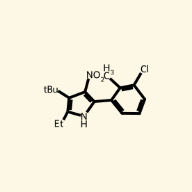 CCc1[nH]c(-c2cccc(Cl)c2C)c([N+](=O)[O-])c1C(C)(C)C